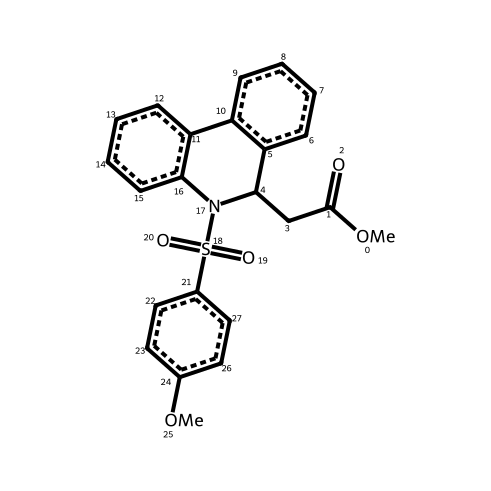 COC(=O)CC1c2ccccc2-c2ccccc2N1S(=O)(=O)c1ccc(OC)cc1